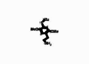 CCC(C)Sc1cc(OC)c(CCN)cc1OC